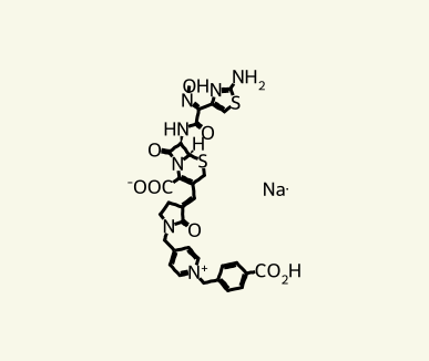 Nc1nc(C(=NO)C(=O)N[C@@H]2C(=O)N3C(C(=O)[O-])=C(C=C4CCN(Cc5cc[n+](Cc6ccc(C(=O)O)cc6)cc5)C4=O)CS[C@H]23)cs1.[Na]